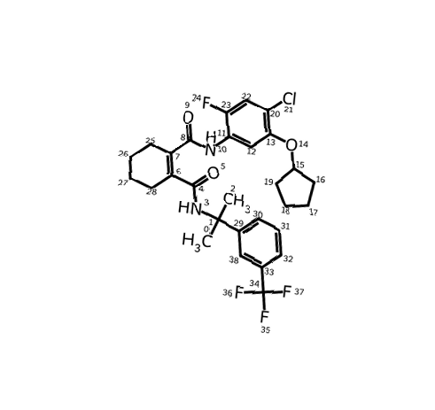 CC(C)(NC(=O)C1=C(C(=O)Nc2cc(OC3CCCC3)c(Cl)cc2F)CCCC1)c1cccc(C(F)(F)F)c1